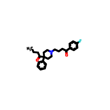 CCCC(=O)C1(c2ccccc2)CCN(CCCC(=O)c2ccc(F)cc2)CC1